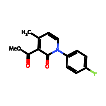 COC(=O)c1c(C)ccn(-c2ccc(F)cc2)c1=O